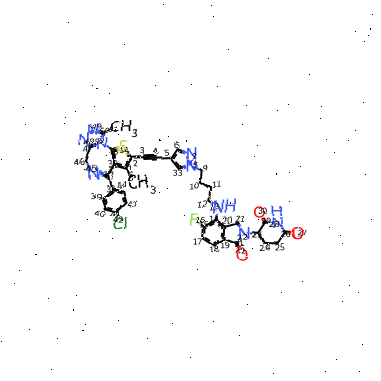 Cc1c(C#Cc2cnn(CCCCNc3c(F)ccc4c3CN(C3CCC(=O)NC3=O)C4=O)c2)sc2c1C(c1ccc(Cl)cc1)=NCc1nnc(C)n1-2